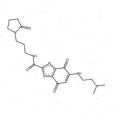 CN(C)CCNC1=CC(=O)c2sc(C(=O)NCCCN3CCCC3=O)nc2C1=O